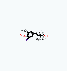 COc1cc(CCC(C)(C)[Si](C)(C)O)cc(I)c1O